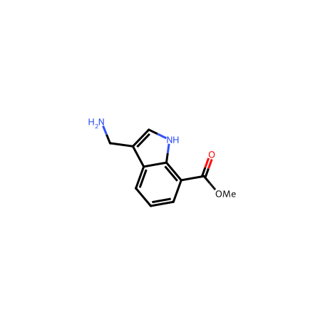 COC(=O)c1cccc2c(CN)c[nH]c12